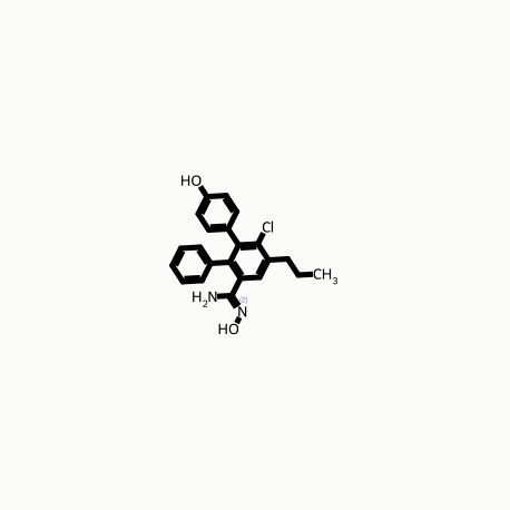 CCCc1cc(/C(N)=N/O)c(-c2ccccc2)c(-c2ccc(O)cc2)c1Cl